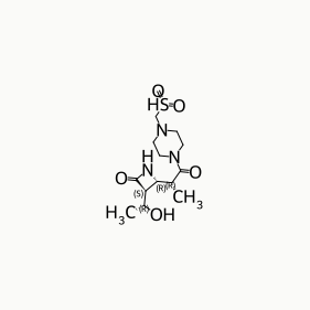 C[C@@H](O)[C@H]1C(=O)N[C@@H]1[C@@H](C)C(=O)N1CCN(C[SH](=O)=O)CC1